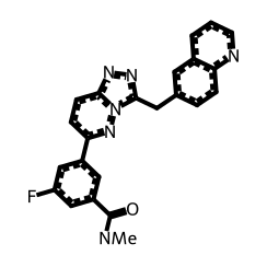 CNC(=O)c1cc(F)cc(-c2ccc3nnc(Cc4ccc5ncccc5c4)n3n2)c1